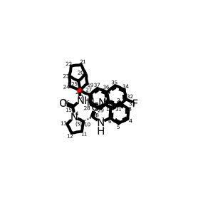 Nc1ccccc1NC(=O)[C@@H]1CCCN1C(=O)NC1CC2CCC(C1)C2Cc1ccc2cc(F)ccc2c1